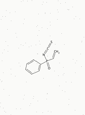 C=CP(=O)(N=C=S)c1ccccc1